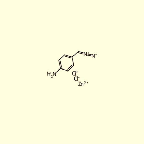 [Cl-].[Cl-].[N-]=[N+]=Cc1ccc(N)cc1.[Zn+2]